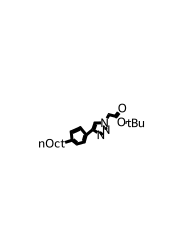 CCCCCCCCc1ccc(-c2cn(CC(=O)OC(C)(C)C)nn2)cc1